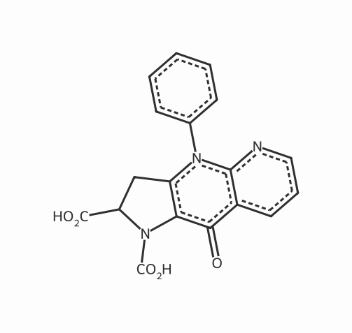 O=C(O)C1Cc2c(c(=O)c3cccnc3n2-c2ccccc2)N1C(=O)O